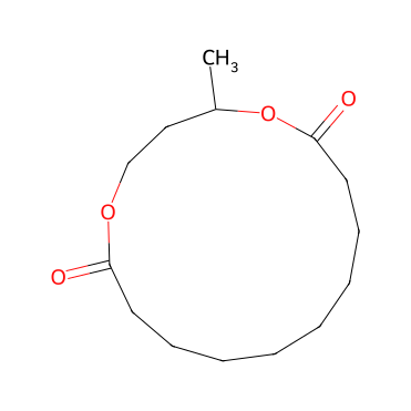 CC1CCOC(=O)CCCCCCCCC(=O)O1